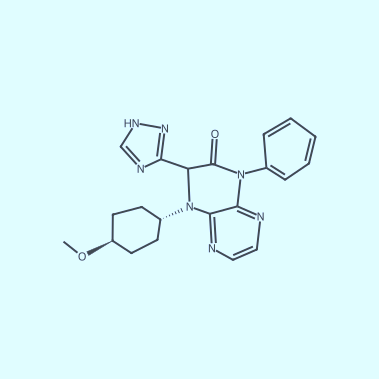 CO[C@H]1CC[C@H](N2c3nccnc3N(c3ccccc3)C(=O)C2c2nc[nH]n2)CC1